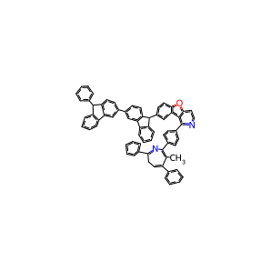 CC1=C(c2ccc(-c3nccc4oc5ccc(C6c7ccccc7-c7cc(-c8ccc9c(c8)-c8ccccc8C9c8ccccc8)ccc76)cc5c34)cc2)N=C(c2ccccc2)CC=C1c1ccccc1